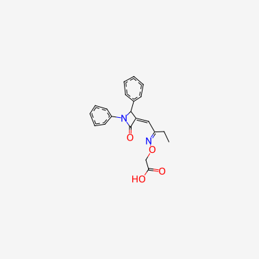 CCC(C=C1C(=O)N(c2ccccc2)C1c1ccccc1)=NOCC(=O)O